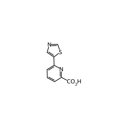 O=C(O)c1cccc(-c2cncs2)n1